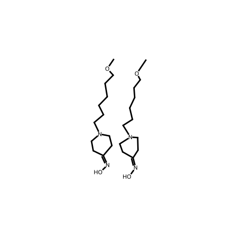 COCCCCCCN1CCC(=NO)CC1.COCCCCCCN1CCC(=NO)CC1